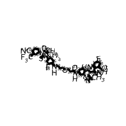 Cn1ncnc1[C@H]1c2n[nH]c(=O)c3cc(F)cc(c23)N[C@@H]1c1ccc(NC(=O)CCOCCCNc2ccc(N3C(=S)N(c4ccc(C#N)c(C(F)(F)F)c4)C(=O)C3(C)C)cc2F)cc1